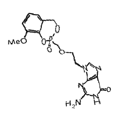 COc1cccc2c1OP(=O)(COCCn1cnc3c(=O)[nH]c(N)nc31)OC2